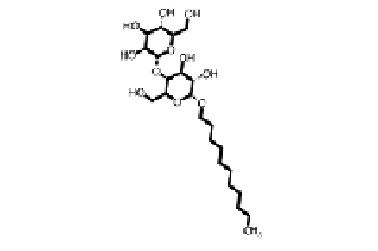 CCCCCCCCCCCO[C@@H]1OC(CO)[C@@H](O[C@H]2OC(CO)[C@@H](O)C(O)[C@@H]2O)C(O)[C@@H]1O